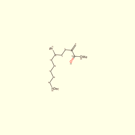 C=C(CCC(CCCCCCCCCCCCCCC)C(C)C)C(=O)OC